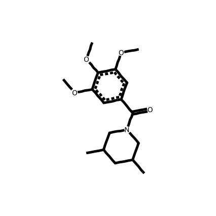 COc1cc(C(=O)N2CC(C)CC(C)C2)cc(OC)c1OC